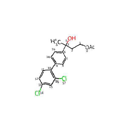 CC(=O)OCCC(C)(O)c1ccc(-c2ccc(Cl)cc2Cl)cc1